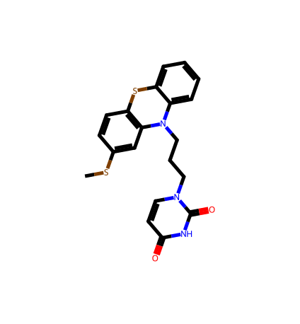 CSc1ccc2c(c1)N(CCCn1ccc(=O)[nH]c1=O)c1ccccc1S2